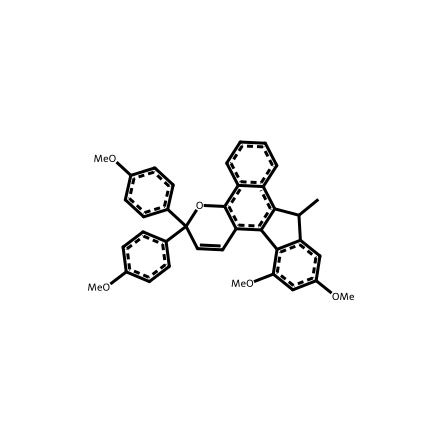 COc1ccc(C2(c3ccc(OC)cc3)C=Cc3c4c(c5ccccc5c3O2)C(C)c2cc(OC)cc(OC)c2-4)cc1